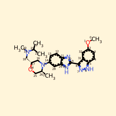 COc1ccc2[nH]nc(-c3nc4ccc(N5C[C@@H](CN(C)C(C)C)OC[C@@H]5C)cc4[nH]3)c2c1